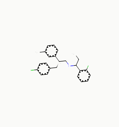 C[C@H](NC(CC#N)c1ccccc1Cl)[C@@H](Cc1ccc(Cl)cc1)c1cccc(C#N)c1